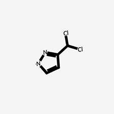 ClC(Cl)C1=N[N]C=C1